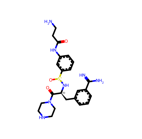 N=C(N)c1cccc(C[C@H](N[S+]([O-])c2cccc(NC(=O)CCN)c2)C(=O)N2CCNCC2)c1